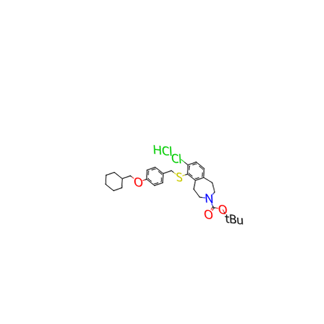 CC(C)(C)OC(=O)N1CCc2ccc(Cl)c(SCc3ccc(OCC4CCCCC4)cc3)c2CC1.Cl